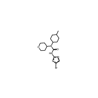 CC1CCC(N(C(=O)Nc2ncc(Br)s2)C2CCOCC2)CC1